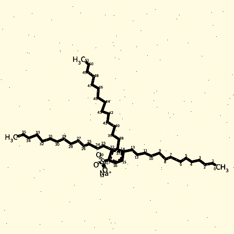 CCCCCCCCCCCCCCc1ccc(S(=O)(=O)[O-])c(CCCCCCCCCCCCCC)c1CCCCCCCCCCCCCC.[Na+]